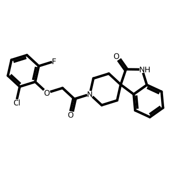 O=C(COc1c(F)cccc1Cl)N1CCC2(CC1)C(=O)Nc1ccccc12